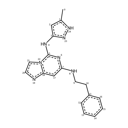 Cc1cc(Nc2nc(NCCc3ccccc3)cc3nccn23)n[nH]1